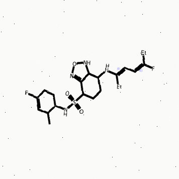 CC/C(F)=C\C=C(/CC)NC1CCC(S(=O)(=O)NC2CCC(F)=CC2C)C2=NONC21